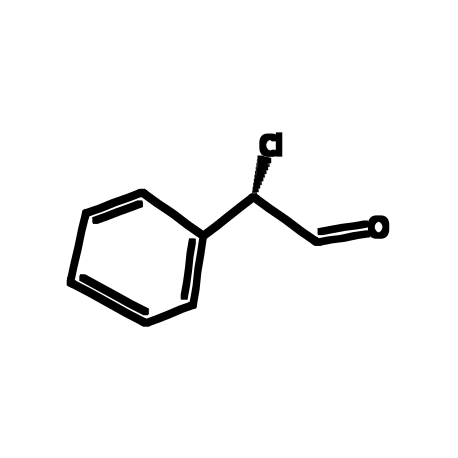 O=C[C@@H](Cl)c1ccccc1